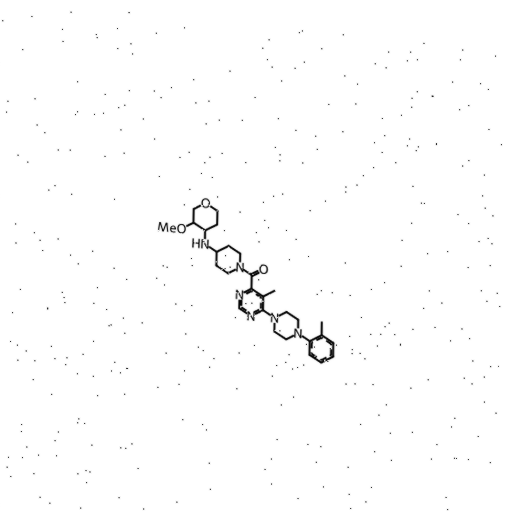 COC1COCCC1NC1CCN(C(=O)c2ncnc(N3CCN(c4ccccc4C)CC3)c2C)CC1